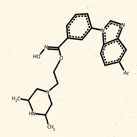 CC(=O)c1ccc2c(c1)ncn2-c1cccc(C(=NO)OCCN2CC(C)NC(C)C2)c1